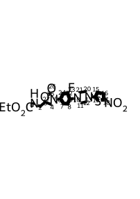 CCOC(=O)NCC1CN(c2ccc(N3CCN(c4ccc([N+](=O)[O-])s4)CC3)c(F)c2)C(=O)O1